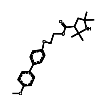 COc1ccc(-c2ccc(OCCOC(=O)C3CC(C)(C)NC3(C)C)cc2)cc1